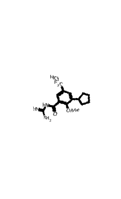 COc1c(C(=O)NC(=N)N)cc(C(F)(F)F)cc1C1CCCC1.Cl